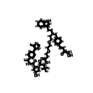 Cc1ncsc1-c1ccc([C@H](C)NC(=O)[C@@H]2C[C@@H](O)CN2C(=O)[C@@H](NC(=O)CCOCCOCCN(CCc2c[nH]c3ccccc23)Cc2ccc(/C=C/C(=O)NO)cc2)C(C)(C)C)cc1